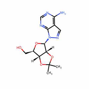 CC1(C)O[C@@H]2[C@H](O1)[C@@H](CO)O[C@H]2n1ncc2c(N)ncnc21